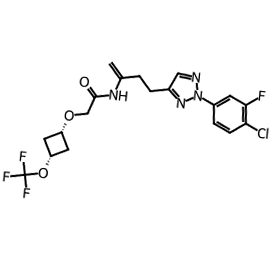 C=C(CCc1cnn(-c2ccc(Cl)c(F)c2)n1)NC(=O)CO[C@H]1C[C@@H](OC(F)(F)F)C1